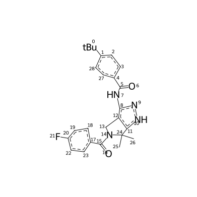 CC(C)(C)c1ccc(C(=O)Nc2n[nH]c3c2CN(C(=O)c2ccc(F)cc2)C3(C)C)cc1